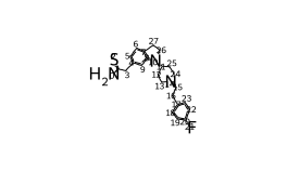 NC(=S)Cc1ccc2c(c1)N(C1CCN(CCc3ccc(F)cc3)CC1)CC2